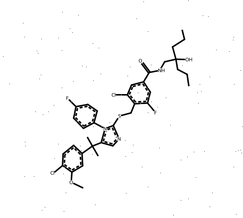 CCCC(O)(CCC)CNC(=O)c1cc(F)c(CSc2ncc(C(C)(C)c3ccc(Cl)c(OC)c3)n2-c2ccc(F)cc2)c(Cl)c1